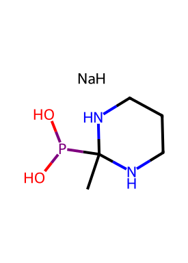 CC1(P(O)O)NCCCN1.[NaH]